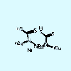 CCCCN(CCCC)C(=S)S.CCCCN(CCCC)C(=S)S.[Ni]